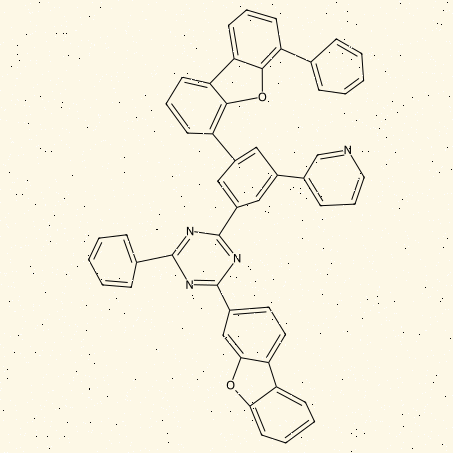 c1ccc(-c2nc(-c3cc(-c4cccnc4)cc(-c4cccc5c4oc4c(-c6ccccc6)cccc45)c3)nc(-c3ccc4c(c3)oc3ccccc34)n2)cc1